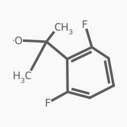 CC(C)([O])c1c(F)cccc1F